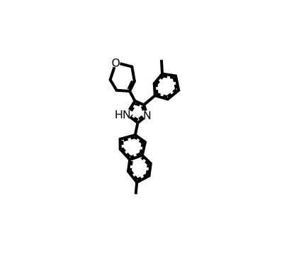 Cc1cccc(-c2nc(-c3ccc4cc(C)ccc4c3)[nH]c2C2=CCOCC2)c1